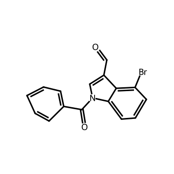 O=Cc1cn(C(=O)c2ccccc2)c2cccc(Br)c12